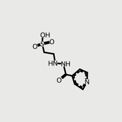 O=C(NNCCS(=O)(=O)O)c1ccncc1